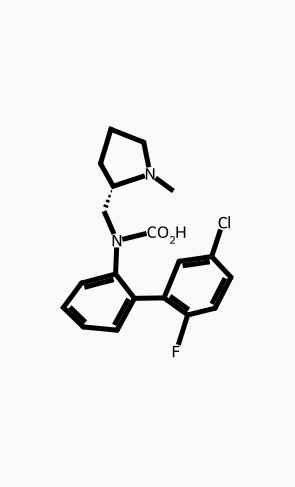 CN1CCC[C@H]1CN(C(=O)O)c1ccccc1-c1cc(Cl)ccc1F